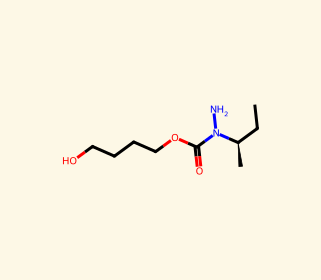 CC[C@@H](C)N(N)C(=O)OCCCCO